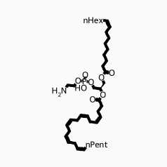 CCCCC/C=C\C/C=C\C/C=C\C/C=C\C/C=C\CCC(=O)O[C@H](COC(=O)CCCCCCC/C=C\CCCCCC)COP(=O)(O)OCCN